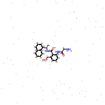 C[C@@H](NC(=O)c1c(CO)cccc1NC(=O)CN)c1cccc2ccccc12